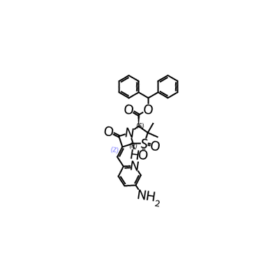 CC1(C)[C@H](C(=O)OC(c2ccccc2)c2ccccc2)N2C(=O)/C(=C/c3ccc(N)cn3)[C@H]2S1(=O)=O